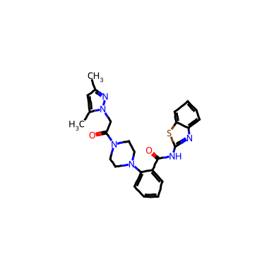 Cc1cc(C)n(CC(=O)N2CCN(c3ccccc3C(=O)Nc3nc4ccccc4s3)CC2)n1